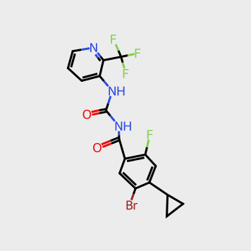 O=C(NC(=O)c1cc(Br)c(C2CC2)cc1F)Nc1cccnc1C(F)(F)F